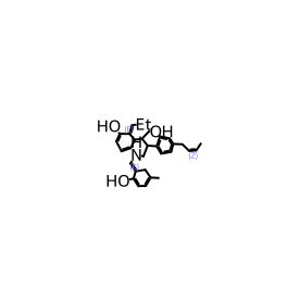 C/C=C\Cc1ccc(C(CN/C=C2\CC(C)=CC=C2O)C(CO)C2C=CC=C(O)/C2=C/CC)cc1